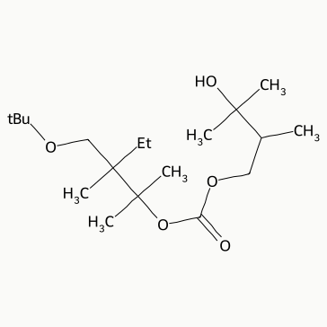 CCC(C)(COC(C)(C)C)C(C)(C)OC(=O)OCC(C)C(C)(C)O